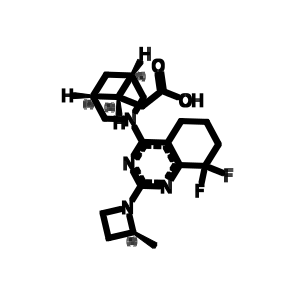 C[C@H]1CCN1c1nc(N2C[C@H]3C[C@@H](C2)[C@H]3CC(=O)O)c2c(n1)C(F)(F)CCC2